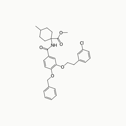 COC(=O)C1(NC(=O)c2ccc(OCc3ccccc3)c(OCCc3cccc(Cl)c3)c2)CCC(C)CC1